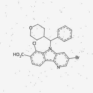 O=C(O)c1ccc2c3ncc(Br)cc3n(C(c3ccccc3)C3CCOCC3)c2c1Cl